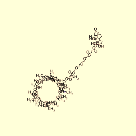 C/C=C/C[C@@H](C)C(OC(=O)OCOC(=O)C[C@@H](N)C(=O)OCCOCCOCCOCCOC(=O)CCC(=O)OCC(=O)[C@@]1(O)CCC2C3CCC4=CC(=O)C=C[C@]4(C)C3[C@@H](O)C[C@@]21C)[C@H]1C(=O)NC(CC)C(=O)N(C)CC(=O)N(C)[C@@H](CC(C)C)C(=O)NC(C(C)C)C(=O)N(C)C(CC(C)C)C(=O)N[C@@H](C)C(=O)NC(C)C(=O)N(C)[C@H](CC(C)C)C(=O)N(C)C(CC(C)C)C(=O)N(C)C(C(C)C)C(=O)N1C